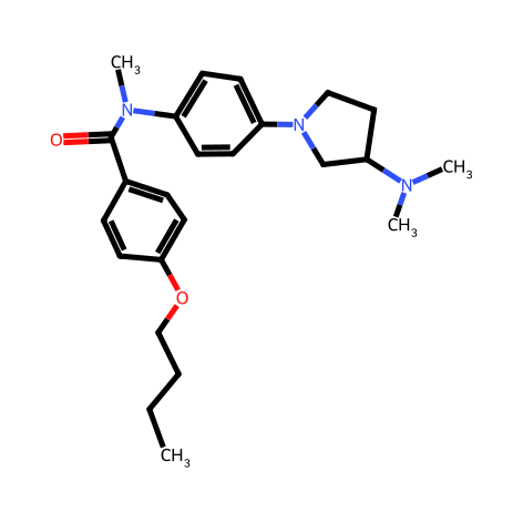 CCCCOc1ccc(C(=O)N(C)c2ccc(N3CCC(N(C)C)C3)cc2)cc1